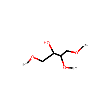 CC(C)OCC(O)C(COC(C)C)OC(C)C